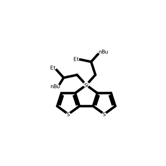 CCCCC(CC)C[Si]1(CC(CC)CCCC)c2ccsc2-c2sccc21